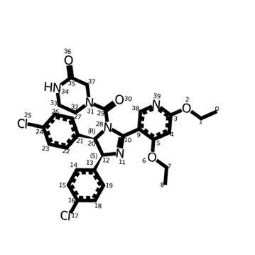 CCOc1cc(OCC)c(C2=N[C@@H](c3ccc(Cl)cc3)[C@@H](c3ccc(Cl)cc3)N2C(=O)N2CCNC(=O)C2)cn1